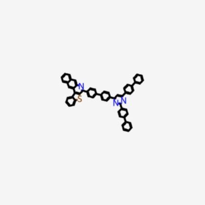 c1ccc(-c2ccc(-c3cc(-c4ccc(-c5ccc(-c6nc7cc8ccccc8cc7c7c6sc6ccccc67)cc5)cc4)nc(-c4ccc(-c5ccccc5)cc4)n3)cc2)cc1